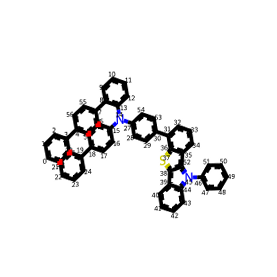 c1ccc(-c2ccc(-c3ccccc3N(c3ccc(-c4ccccc4)cc3)c3ccc(-c4cccc5c4sc4c6ccccc6n(-c6ccccc6)c54)cc3)cc2)cc1